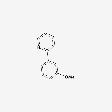 COc1cccc(-c2c[c]ccn2)c1